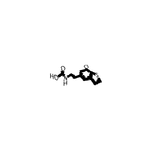 O=C(O)NCCc1cc(Cl)c2sccc2c1